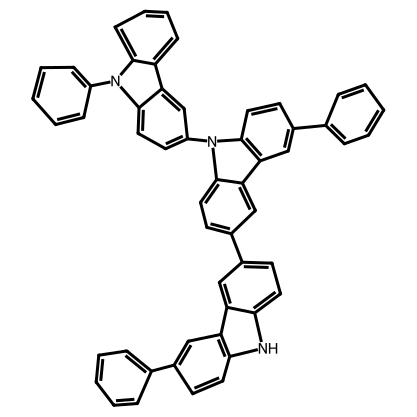 c1ccc(-c2ccc3[nH]c4ccc(-c5ccc6c(c5)c5cc(-c7ccccc7)ccc5n6-c5ccc6c(c5)c5ccccc5n6-c5ccccc5)cc4c3c2)cc1